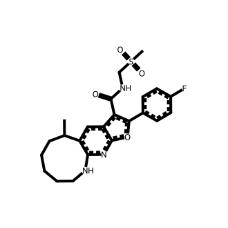 CC1CCCCCNc2nc3oc(-c4ccc(F)cc4)c(C(=O)NCS(C)(=O)=O)c3cc21